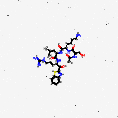 CC(=O)NC(CO)C(=O)N[C@@H](CCCCN)C(=O)NC(CC(C)C)C(=O)N[C@@H](CCCNC(=N)N)C(=O)c1nc2ccccc2s1